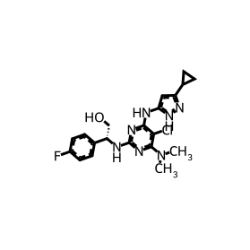 CN(C)c1nc(N[C@@H](CO)c2ccc(F)cc2)nc(Nc2cc(C3CC3)n[nH]2)c1Cl